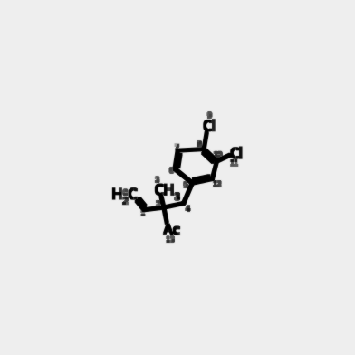 C=CC(C)(Cc1ccc(Cl)c(Cl)c1)C(C)=O